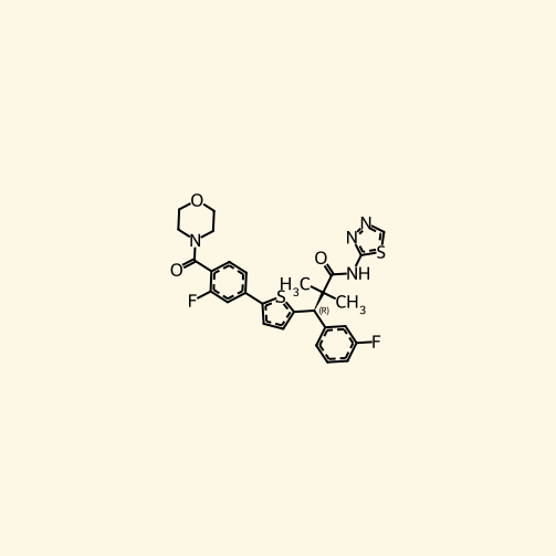 CC(C)(C(=O)Nc1nncs1)[C@@H](c1cccc(F)c1)c1ccc(-c2ccc(C(=O)N3CCOCC3)c(F)c2)s1